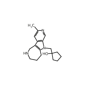 Cc1cc2c3c(n(CC4(O)CCCC4)c2cn1)CCCNC3